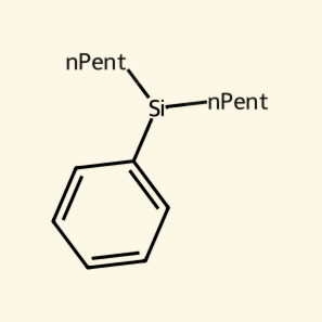 CCCCC[Si](CCCCC)c1ccccc1